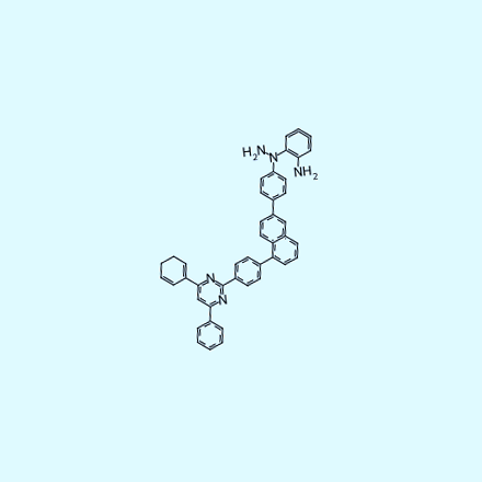 NC1=C(N(N)c2ccc(-c3ccc4c(-c5ccc(-c6nc(C7=CCCC=C7)cc(-c7ccccc7)n6)cc5)cccc4c3)cc2)C=C=C=C1